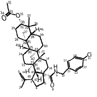 C=C(C)[C@@H]1CC[C@]2(C(=O)NCc3ccc(Cl)cc3)CC[C@]3(C)[C@H](CC[C@@H]4[C@@]5(C)CC[C@H](OC(C)=O)C(C)(C)[C@@H]5CC[C@]43C)[C@@H]12